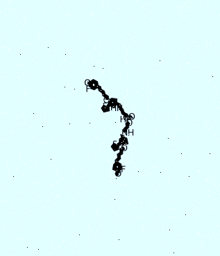 COc1ccc(CCCCCOc2ccc(CNCCCO[PH](=O)OCCCNCc3ccc(OCCCCCc4ccc(OC)c(F)c4)c(-c4cccs4)c3)cc2-c2cccs2)cc1F